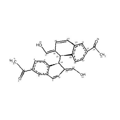 CC(=O)c1ccc2c(c1)C=CC(=CO)[C@@H]2[C@H]1C(=CO)C=Cc2cc(C(C)=O)ccc21